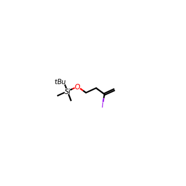 C=C(I)CCO[Si](C)(C)C(C)(C)C